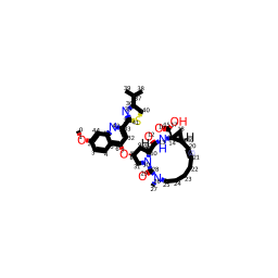 COc1ccc2c(O[C@@H]3C[C@H]4C(=O)N[C@]5(C(=O)O)C[C@H]5/C=C\CCCCN(C)C(=O)N4C3)cc(C3=NC(C(C)C)CS3)nc2c1